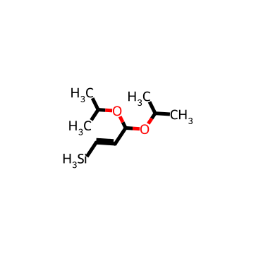 CC(C)OC(C=C[SiH3])OC(C)C